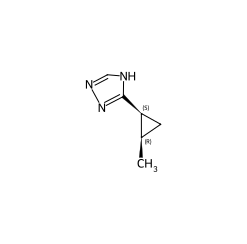 C[C@@H]1C[C@@H]1c1nnc[nH]1